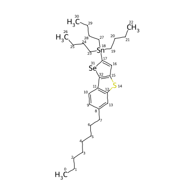 CCCCCCCCc1ccc2c(c1)sc1c[c]([Sn]([CH2]CCC)([CH2]CCC)[CH2]CCC)[se]c12